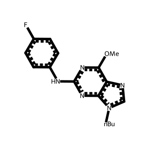 CCCCn1cnc2c(OC)nc(Nc3ccc(F)cc3)nc21